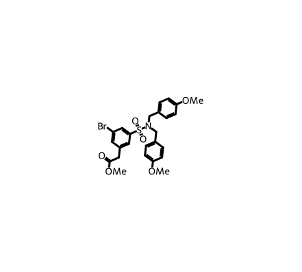 COC(=O)Cc1cc(Br)cc(S(=O)(=O)N(Cc2ccc(OC)cc2)Cc2ccc(OC)cc2)c1